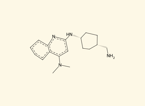 CN(C)c1cc(N[C@H]2CC[C@@H](CN)CC2)nc2ccccc12